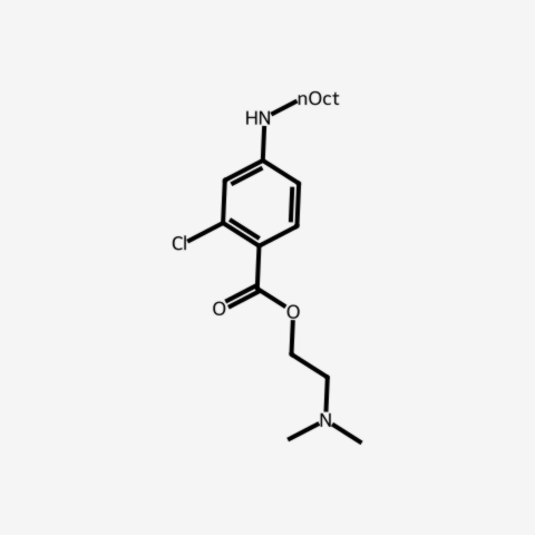 CCCCCCCCNc1ccc(C(=O)OCCN(C)C)c(Cl)c1